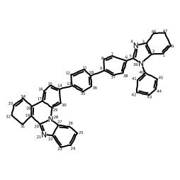 C1=Cc2c(nc(-c3ccc(-c4ccc(-c5ccc6c7c(c8nc9ccccc9n8c6c5)CCC=C7)cc4)cc3)n2-c2ccccc2)CC1